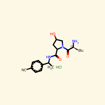 CC(NC(=O)C1CC(O)CN1C(=O)[C@@H](N)C(C)(C)C)c1ccc(C#N)cc1.Cl